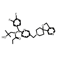 CCC(=O)N(CC(C)(C)O)[C@@H](c1ccc(F)c(F)c1)c1ccc(CN2CCC3(CC2)OCc2ccncc23)cn1